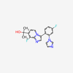 CC(C)(O)c1ccn2c(-c3ccc(F)cc3-n3ccnc3)cnc2c1F